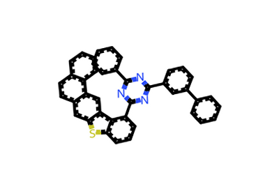 c1ccc(-c2cccc(-c3nc(-c4ccccc4)nc(-c4cccc5sc6cc7ccc8ccccc8c7cc6c45)n3)c2)cc1